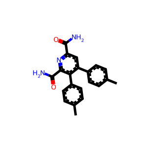 Cc1ccc(-c2cc(C(N)=O)nc(C(N)=O)c2-c2ccc(C)cc2)cc1